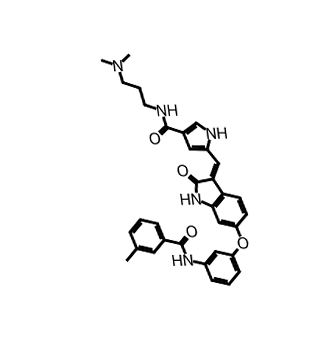 Cc1cccc(C(=O)Nc2cccc(Oc3ccc4c(c3)NC(=O)C4=Cc3cc(C(=O)NCCCN(C)C)c[nH]3)c2)c1